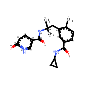 Cc1ccc(C(=O)NC2CC2)cc1CC(C)(C)NC(=O)c1ccc(=O)[nH]c1